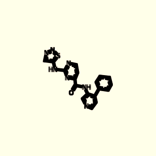 O=C(Nc1cnccc1-c1ccccc1)c1ccnc(Nc2cnns2)n1